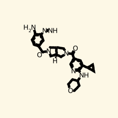 N=Nc1cc(C(=O)N2CC3CN(C(=O)c4cnc(NC5CCOCC5)c(C5CC5)c4)C[C@@H]3C2)ccc1N